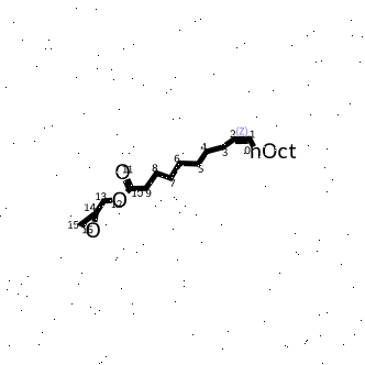 CCCCCCCC/C=C\CCCCCCCC(=O)OCC1CO1